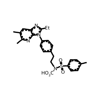 CCc1nc2cc(C)c(C)nc2n1-c1ccc(CCN(C(=O)O)S(=O)(=O)c2ccc(C)cc2)cc1